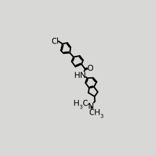 CN(C)CC1Cc2ccc(NC(=O)c3ccc(-c4ccc(Cl)cc4)cc3)cc2C1